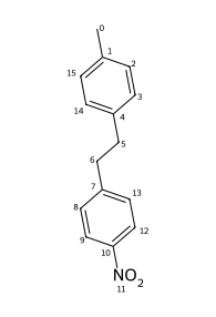 Cc1ccc(CCc2ccc([N+](=O)[O-])cc2)cc1